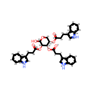 O=C(CCc1c[nH]c2ccccc12)O[C@H]1[C@@H](OC(=O)CCc2c[nH]c3ccccc23)COC(O)[C@@H]1OC(=O)CCc1c[nH]c2ccccc12